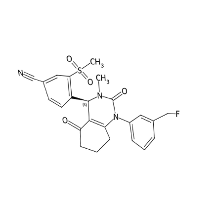 CN1C(=O)N(c2cccc(CF)c2)C2=C(C(=O)CCC2)[C@H]1c1ccc(C#N)cc1S(C)(=O)=O